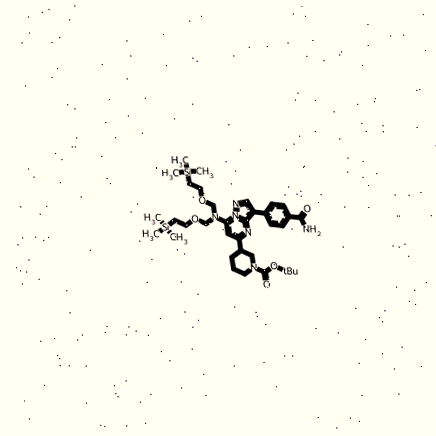 CC(C)(C)OC(=O)N1CCCC(c2cc(N(COCC[Si](C)(C)C)COCC[Si](C)(C)C)n3ncc(-c4ccc(C(N)=O)cc4)c3n2)C1